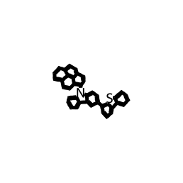 c1cc2ccc3ccc(-n4c5ccccc5c5cc(-c6cccc7c6sc6ccccc67)ccc54)c4ccc(c1)c2c34